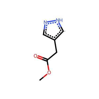 COC(=O)Cc1[c][nH]nc1